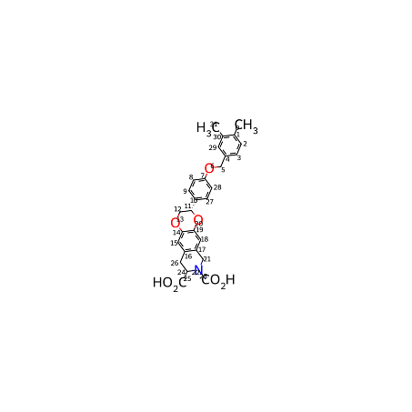 Cc1ccc(COc2ccc([C@H]3COc4cc5c(cc4O3)CN(C(=O)O)C(C(=O)O)C5)cc2)cc1C